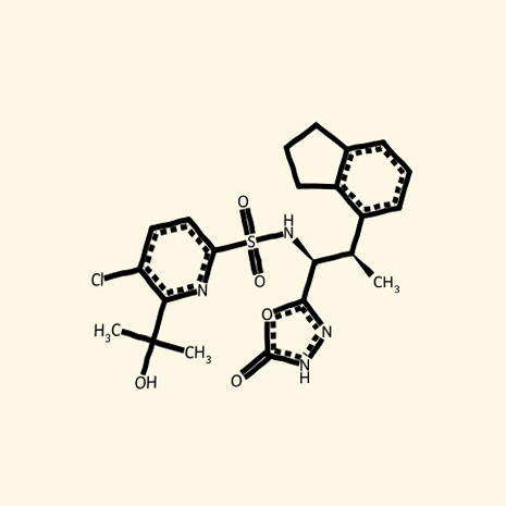 C[C@H](c1cccc2c1CCC2)[C@H](NS(=O)(=O)c1ccc(Cl)c(C(C)(C)O)n1)c1n[nH]c(=O)o1